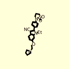 CCn1c(-c2ccc(N3CCCS3(=O)=O)cc2)c(C#N)c2ccc(OCCN3CCCC3)cc21